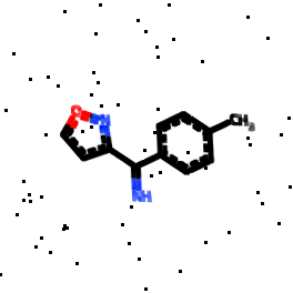 Cc1ccc(C(=N)c2ccon2)cc1